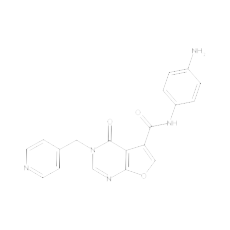 Nc1ccc(NC(=O)c2coc3ncn(Cc4ccncc4)c(=O)c23)cc1